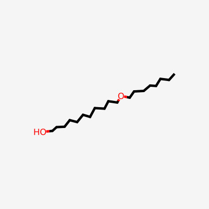 CCCCCCCCOCCCCCCCCCCCO